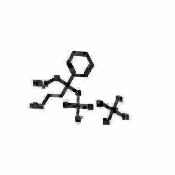 CCCCCCCCCCCCC(OS(=O)(=O)[O-])(OS(=O)(=O)O)c1ccccc1.CC[N+](CC)(CC)CC